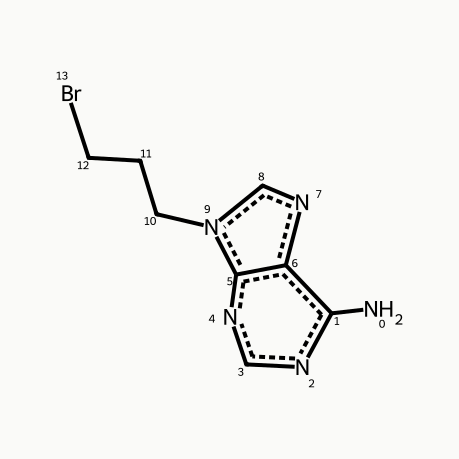 Nc1ncnc2c1ncn2CCCBr